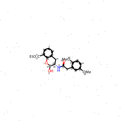 CCOC(=O)c1cccc2c1OB(O)[C@@H](NC(=O)Cc1cc(OC)ccc1OC)C2